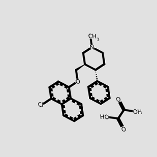 CN1CC[C@H](c2ccccc2)[C@@H](COc2ccc(Cl)c3ccccc23)C1.O=C(O)C(=O)O